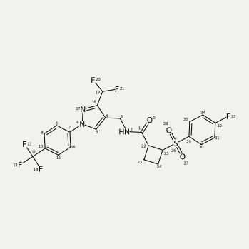 O=C(NCc1cn(-c2ccc(C(F)(F)F)cc2)nc1C(F)F)C1CCC1S(=O)(=O)c1ccc(F)cc1